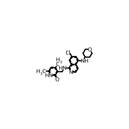 Cc1cc(C)c(CNc2nccc3c(NC4CCOCC4)cc(Cl)cc23)c(=O)[nH]1